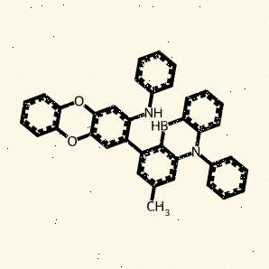 Cc1cc(-c2cc3c(cc2Nc2ccccc2)Oc2ccccc2O3)c2c(c1)N(c1ccccc1)c1ccccc1B2